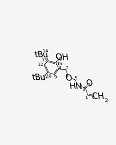 C=CC(=O)NCOCc1cc(C(C)(C)C)cc(C(C)(C)C)c1O